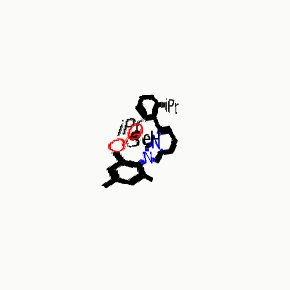 Cc1cc(C)c(N2C=C3C=CC=C(c4c(C(C)C)cccc4C(C)C)N3C2[SeH](=O)=O)c(C)c1